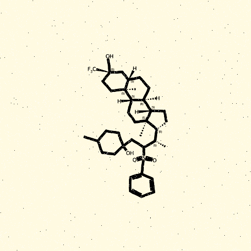 CC1CCC(O)(CC([C@@H](C)[C@H]2CC[C@H]3[C@@H]4CC[C@H]5C[C@](O)(C(F)(F)F)CC[C@]5(C)[C@H]4CC[C@]23C)S(=O)(=O)c2ccccc2)CC1